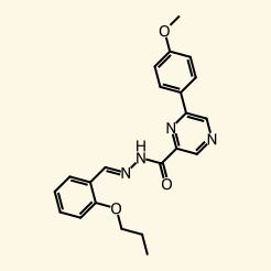 CCCOc1ccccc1C=NNC(=O)c1cncc(-c2ccc(OC)cc2)n1